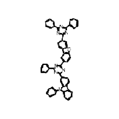 C1=c2oc3ccc(-c4nc(-c5ccccc5)nc(-c5ccc6c7ccccc7n(-c7ccccc7)c6c5)n4)cc3c2=CCC1c1nc(-c2ccccc2)nc(-c2ccccc2)n1